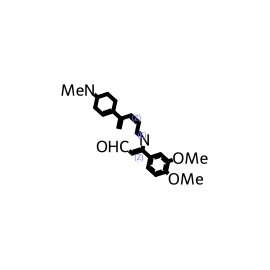 C=C(\C=C/C=N/C(=C\C=O)c1ccc(OC)c(OC)c1)C1=CCC(NC)CC1